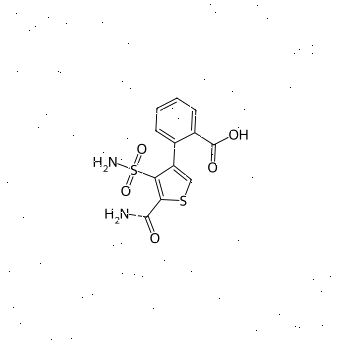 NC(=O)c1scc(-c2ccccc2C(=O)O)c1S(N)(=O)=O